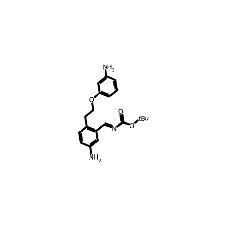 CC(C)(C)OC(=O)/N=C/c1cc(N)ccc1CCOc1cccc(N)c1